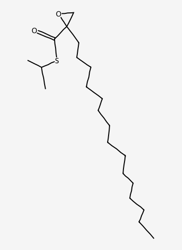 CCCCCCCCCCCCCCCC1(C(=O)SC(C)C)CO1